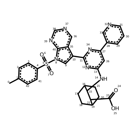 Cc1ccc(S(=O)(=O)n2cc(-c3nc(NC4C5CCC(CC5)C4C(=O)O)cc(-c4cccnc4)n3)c3cncnc32)cc1